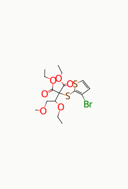 CCOC(=O)C(Sc1sccc1Br)(C(=O)OCC)C(COC)OCC